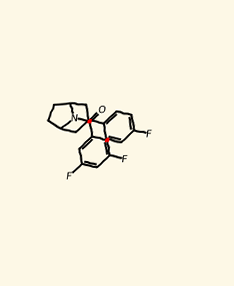 O=C(c1cc(F)cc(F)c1)N1C2CCC1CC(c1ccc(F)cc1)C2